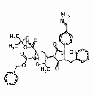 CC(=O)N(C[C@H](NC(=O)OCc1ccccc1)C(=O)OC(C)(C)C)N1C(=O)N(Cc2ccccc2)[C@](C)(c2ccc(C=NN)cc2)C1=O